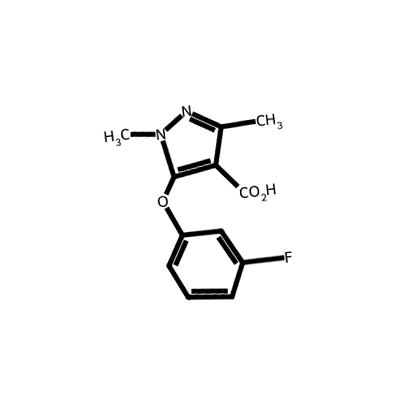 Cc1nn(C)c(Oc2cccc(F)c2)c1C(=O)O